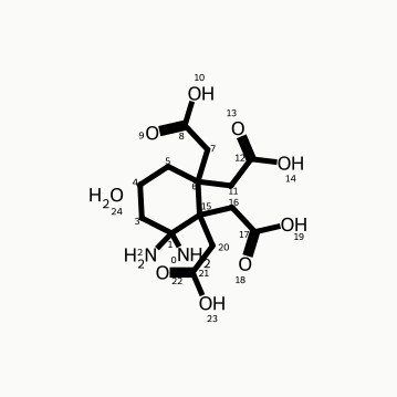 NC1(N)CCCC(CC(=O)O)(CC(=O)O)C1(CC(=O)O)CC(=O)O.O